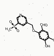 CS(=O)(=O)c1cncc(COc2cc(O)c(Cl)cc2C=O)c1